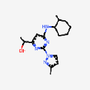 Cc1ccn(-c2nc(NC3CCCCC3C)cc(C(C)O)n2)n1